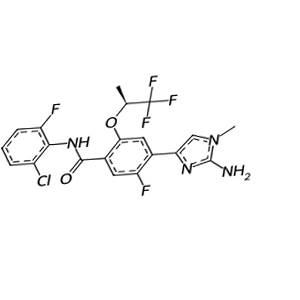 C[C@H](Oc1cc(-c2cn(C)c(N)n2)c(F)cc1C(=O)Nc1c(F)cccc1Cl)C(F)(F)F